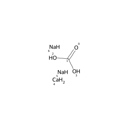 O=C(O)O.[CaH2].[NaH].[NaH]